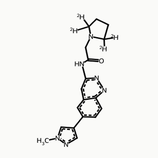 [2H]C1([2H])CCC([2H])([2H])N1CC(=O)Nc1cc2cc(-c3cnn(C)c3)ccc2nn1